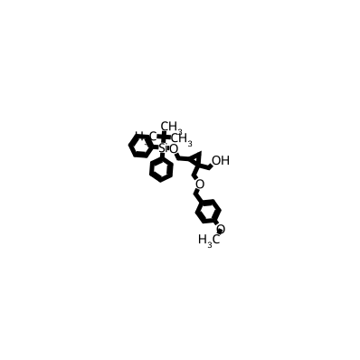 COc1ccc(COCC2(CO)CC2CO[Si](c2ccccc2)(c2ccccc2)C(C)(C)C)cc1